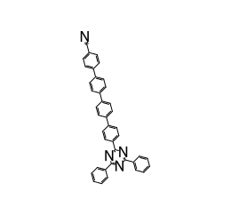 N#Cc1ccc(-c2ccc(-c3ccc(-c4ccc(-c5nc(-c6ccccc6)nc(-c6ccccc6)n5)cc4)cc3)cc2)cc1